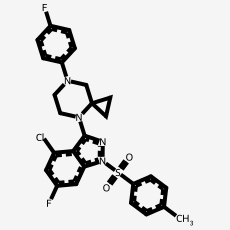 Cc1ccc(S(=O)(=O)n2nc(N3CCN(c4ccc(F)cc4)CC34CC4)c3c(Cl)cc(F)cc32)cc1